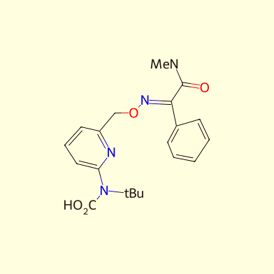 CNC(=O)/C(=N/OCc1cccc(N(C(=O)O)C(C)(C)C)n1)c1ccccc1